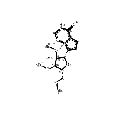 CCCCOC[C@H]1O[C@@H](c2ccc3c(=O)[nH]cnn23)[C@](C)(OCCCC)[C@@H]1OCCCC